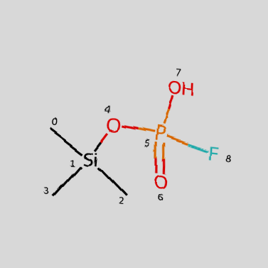 C[Si](C)(C)OP(=O)(O)F